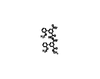 COC(=O)c1cc(-c2ccccc2OC)cc([N+](=O)[O-])c1.COc1ccccc1-c1cc(C(=O)O)cc([N+](=O)[O-])c1